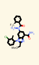 COCc1nc2c(C(N)=O)cc(N(N)C(=O)c3ccccc3C(F)(F)F)cc2n1-c1cccc(Cl)c1C